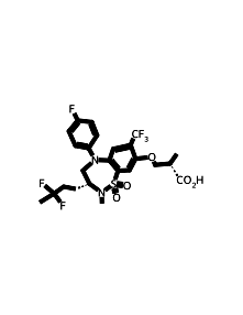 C[C@@H](COc1cc2c(cc1C(F)(F)F)N(c1ccc(F)cc1)C[C@@H](CCC(C)(F)F)N(C)S2(=O)=O)C(=O)O